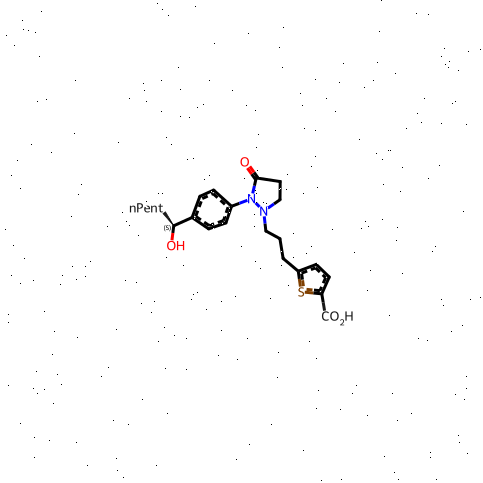 CCCCC[C@H](O)c1ccc(N2C(=O)CCN2CCCc2ccc(C(=O)O)s2)cc1